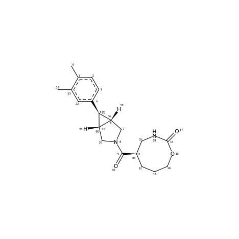 Cc1ccc([C@H]2[C@@H]3CN(C(=O)[C@@H]4CCCOC(=O)NC4)C[C@@H]32)cc1C